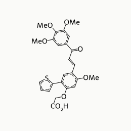 COc1cc(OCC(=O)O)c(-c2cccs2)cc1C=CC(=O)c1cc(OC)c(OC)c(OC)c1